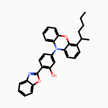 CCCCC(C)c1cccc2c1Oc1ccccc1N2c1ccc(-c2nc3ccccc3o2)c(O)c1